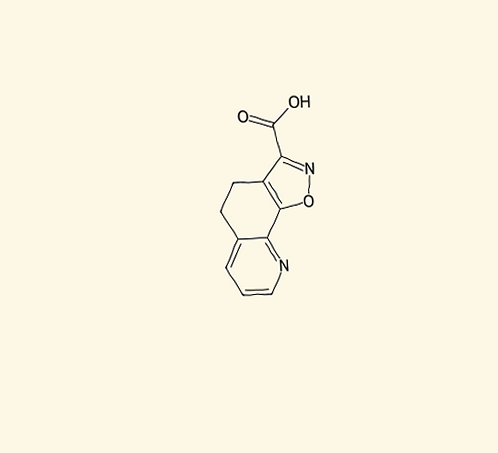 O=C(O)c1noc2c1CCc1cccnc1-2